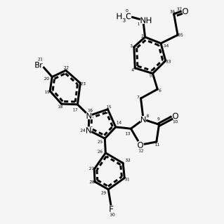 CNc1ccc(CCN2C(=O)COC2c2cn(-c3ccc(Br)cc3)nc2-c2ccc(F)cc2)cc1CC=O